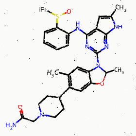 Cc1cc2c(Nc3ccccc3[S+]([O-])C(C)C)nc(N3c4cc(C)c(C5CCN(CC(N)=O)CC5)cc4OC3C)nc2[nH]1